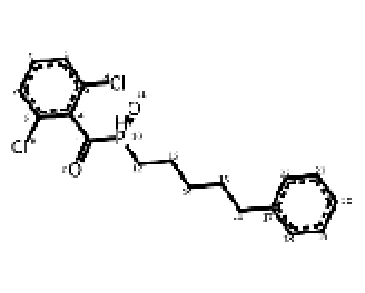 O=C(c1c(Cl)cccc1Cl)[PH](=O)CCCCCc1ccccc1